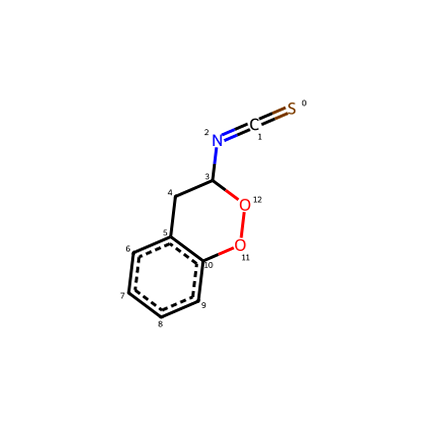 S=C=NC1Cc2ccccc2OO1